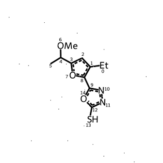 CCc1cc(C(C)OC)oc1-c1nnc(S)o1